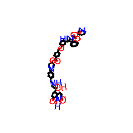 O=C(N[C@@H](c1ccccc1)c1cccc(OCc2ccc(C(=O)OC3CCN(c4ccc(CNCC(O)c5ccc(O)c6[nH]c(=O)ccc56)cc4)CC3)cc2)c1)OC1CN2CCC1CC2